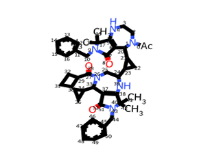 CC(=O)N1CCNC2=C(C(=O)N(Cc3ccccc3)C2(C)C)C1C1CC1C1CN(C(=O)C2CCC2)C(C2CC2)C2=C(N1)C(C)(C)N(Cc1ccccc1)C2=O